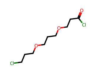 O=C(Cl)CCOCCCOCCCCl